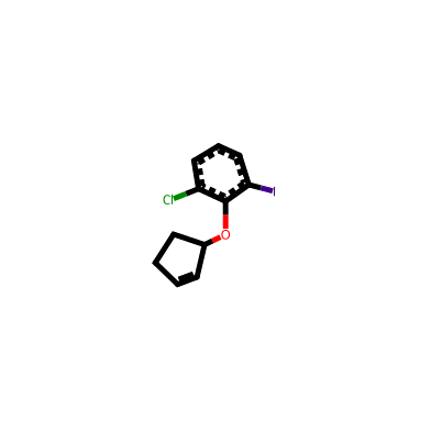 Clc1cccc(I)c1OC1C=CCC1